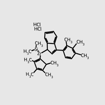 CC1=C(C)C(C)[C]([Zr]([CH]2C=C(c3ccc(C)c(C)c3C)c3ccccc32)=[Si](C)C)=C1C.Cl.Cl